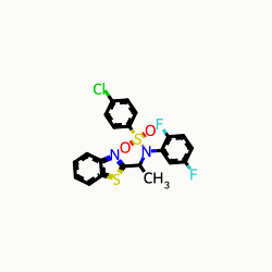 CC(c1nc2ccccc2s1)N(c1cc(F)ccc1F)S(=O)(=O)c1ccc(Cl)cc1